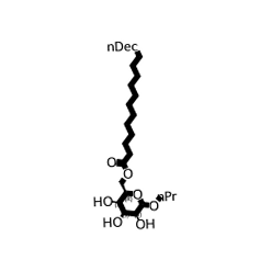 CCCCCCCCCCCCCCCCCCCCCC(=O)OC[C@H]1OC(OCCC)[C@H](O)[C@@H](O)[C@@H]1O